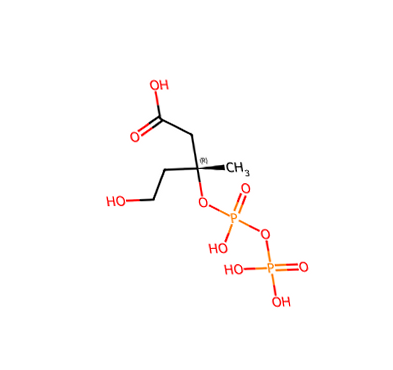 C[C@@](CCO)(CC(=O)O)OP(=O)(O)OP(=O)(O)O